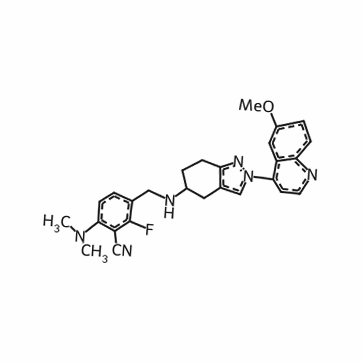 COc1ccc2nccc(-n3cc4c(n3)CCC(NCc3ccc(N(C)C)c(C#N)c3F)C4)c2c1